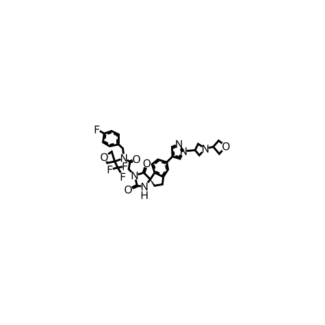 O=C1N[C@]2(CCc3cc(-c4cnn(C5CN(C6COC6)C5)c4)ccc32)C(=O)N1CC(=O)N(Cc1ccc(F)cc1)C1(C(F)(F)F)COC1